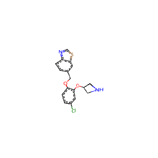 Clc1ccc(OCc2ccc3ncsc3c2)c(OC2CNC2)c1